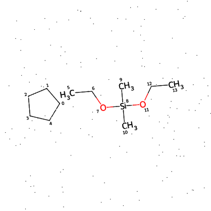 C1CCCC1.CCO[Si](C)(C)OCC